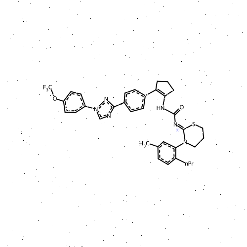 CCCc1ccc(C)cc1N1CCCS/C1=N\C(=O)NC1=C(c2ccc(-c3ncn(-c4ccc(OC(F)(F)F)cc4)n3)cc2)CCC1